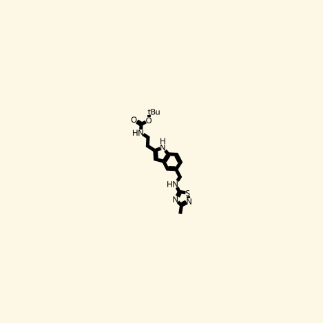 Cc1nsc(NCc2ccc3[nH]c(CCNC(=O)OC(C)(C)C)cc3c2)n1